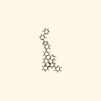 c1ccc(-c2cccc(-c3nc4cc(-c5ccc(-c6ccc7ccccc7c6-c6ccccc6-c6nc(-c7ccccc7)cc(-c7ccccc7)n6)cc5)ccc4o3)c2)cc1